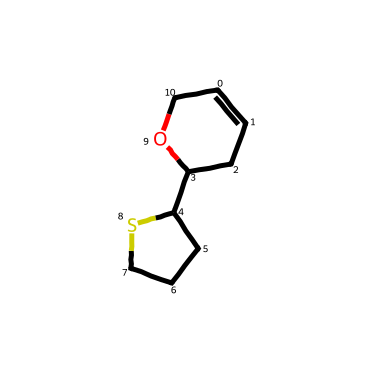 C1=CCC([C]2CCCS2)OC1